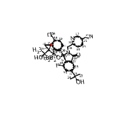 BC(B)(O)C1(C(B)(B)O[C@]2(c3ccc(Cl)cc3)c3c(F)cc(C(C)(C)O)cc3C(=O)N2Cc2ccc(C#N)cn2)CC1